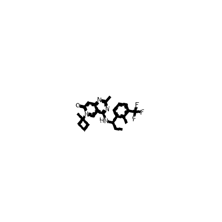 CCC(Nc1nc(C)nc2cc(=O)n(C3(C)CCC3)cc12)c1cccc(C(F)(F)F)c1C